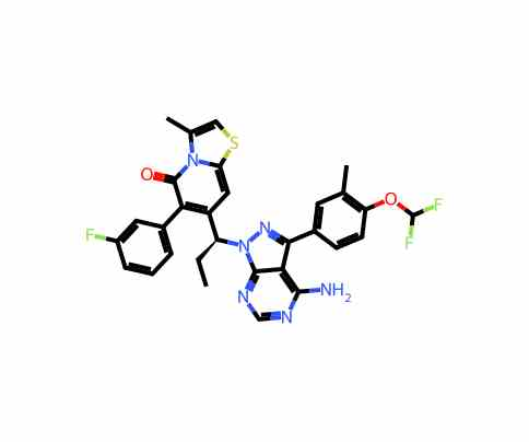 CC[C@@H](c1cc2scc(C)n2c(=O)c1-c1cccc(F)c1)n1nc(-c2ccc(OC(F)F)c(C)c2)c2c(N)ncnc21